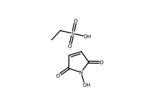 CCS(=O)(=O)O.O=C1C=CC(=O)N1O